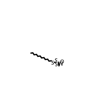 CCCCCCCCCCCCSC(=S)SC(C)(C)N=O